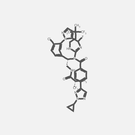 C[C@@H](C(=O)NC[C@@H]1c2ccc(Cl)c(c2)-n2ncnc2C(F)/N=C(\NCCC(C)(C)C(F)(F)F)N1C(=O)c1ccc(-c2cnn(C3CC3)n2)cc1)C(F)(F)F